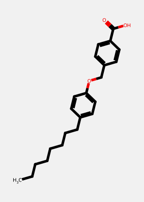 CCCCCCCCc1ccc(OCc2ccc(C(=O)O)cc2)cc1